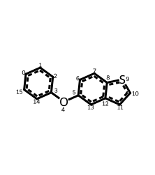 c1ccc(Oc2ccc3sccc3c2)cc1